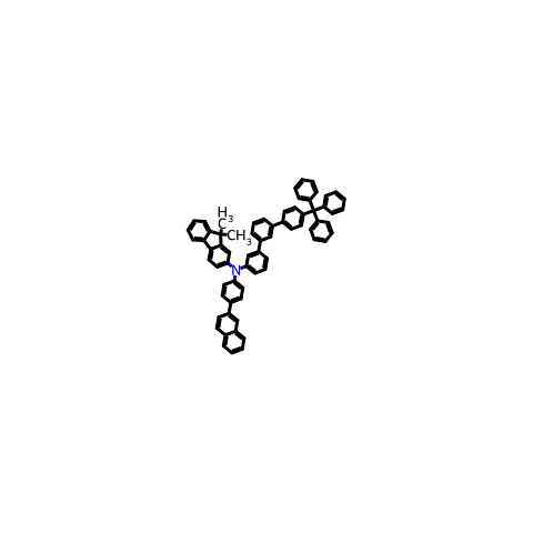 CC1(C)c2ccccc2-c2ccc(N(c3ccc(-c4ccc5ccccc5c4)cc3)c3cccc(-c4cccc(-c5ccc(C(c6ccccc6)(c6ccccc6)c6ccccc6)cc5)c4)c3)cc21